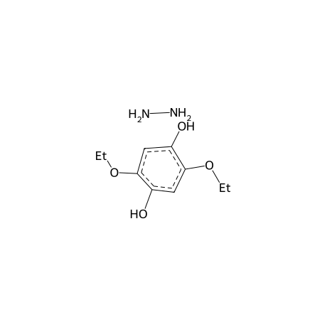 CCOc1cc(O)c(OCC)cc1O.NN